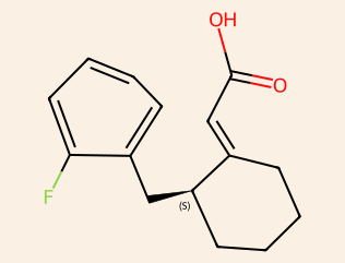 O=C(O)C=C1CCCC[C@H]1Cc1ccccc1F